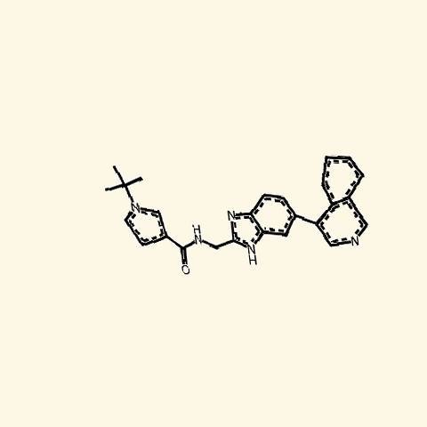 CC(C)(C)n1ccc(C(=O)NCc2nc3ccc(-c4cncc5ccccc45)cc3[nH]2)c1